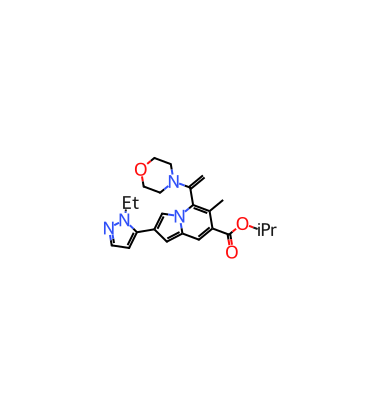 C=C(c1c(C)c(C(=O)OC(C)C)cc2cc(-c3ccnn3CC)cn12)N1CCOCC1